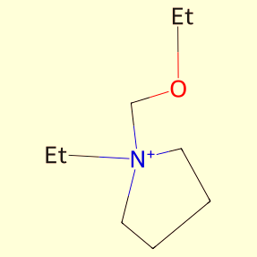 CCOC[N+]1(CC)CCCC1